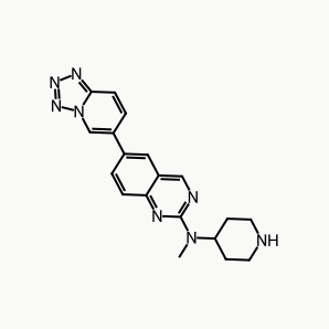 CN(c1ncc2cc(-c3ccc4nnnn4c3)ccc2n1)C1CCNCC1